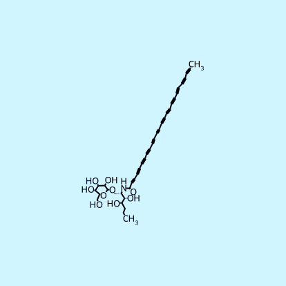 CC#CC#CC#CC#CC#CC#CC#CC#CC#CC#CC#CC#CC(=O)N[C@@H](COC1OC(CO)C(O)C(O)C1O)[C@H](O)[C@H](O)CCC